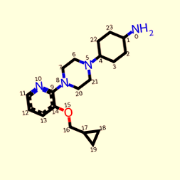 NC1CCC(N2CCN(c3ncccc3OCC3CC3)CC2)CC1